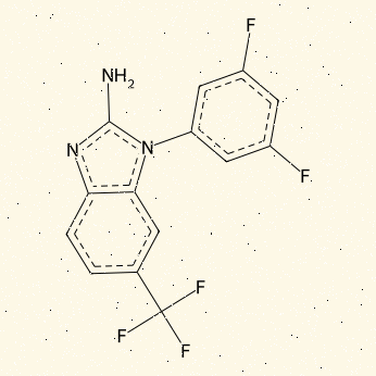 Nc1nc2ccc(C(F)(F)F)cc2n1-c1cc(F)cc(F)c1